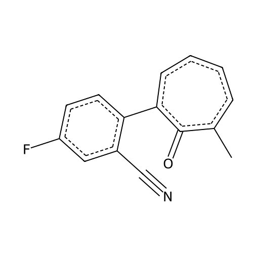 Cc1ccccc(-c2ccc(F)cc2C#N)c1=O